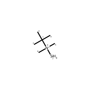 CC(C)(C)[N+](C)(C)[SiH3]